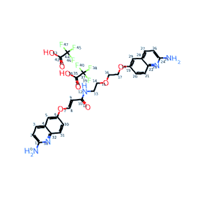 Nc1ccc2cc(OC=CC(=O)NCCOCCOc3ccc4nc(N)ccc4c3)ccc2n1.O=C(O)C(F)(F)F.O=C(O)C(F)(F)F